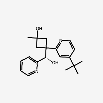 CC1(O)CC(c2cc(C(C)(C)C)ccn2)([C@H](O)c2ccccn2)C1